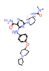 C[C@@H]1[C@H](NC(=O)N(C)C)CCCN1c1cnc(C(N)=O)c(Nc2ccc(OC3CCN(C4CCCC4)CC3)cc2)n1